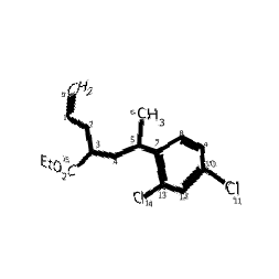 C=CCC(CC(C)c1ccc(Cl)cc1Cl)C(=O)OCC